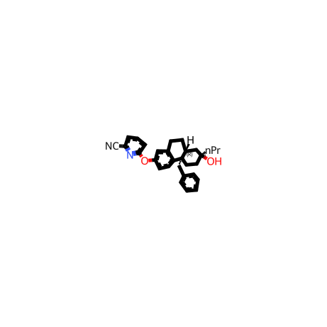 CCC[C@@]1(O)CC[C@@]2(Cc3ccccc3)c3ccc(Oc4cccc(C#N)n4)cc3CC[C@@H]2C1